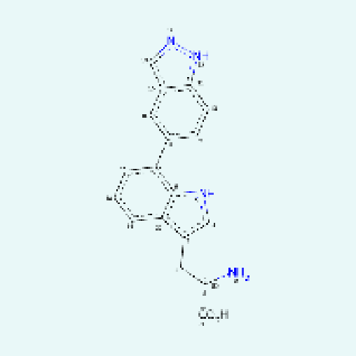 N[C@@H](Cc1c[nH]c2c(-c3ccc4[nH]ncc4c3)cccc12)C(=O)O